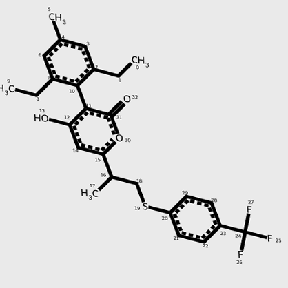 CCc1cc(C)cc(CC)c1-c1c(O)cc(C(C)CSc2ccc(C(F)(F)F)cc2)oc1=O